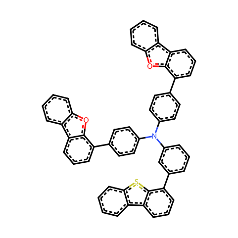 c1cc(-c2cccc3c2sc2ccccc23)cc(N(c2ccc(-c3cccc4c3oc3ccccc34)cc2)c2ccc(-c3cccc4c3oc3ccccc34)cc2)c1